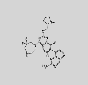 CN1CCC[C@H]1COc1nc(N2CCNCC(F)(F)C2)c2cc(Cl)c(-c3cccc4cnc(N)nc34)c(F)c2n1